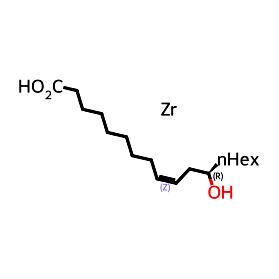 CCCCCC[C@@H](O)C/C=C\CCCCCCCC(=O)O.[Zr]